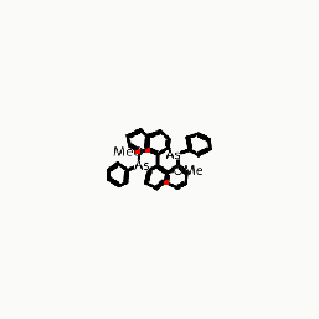 COc1cccc([As](c2ccccc2)c2ccccc2)c1-c1c(OC)cccc1[As](c1ccccc1)c1ccccc1